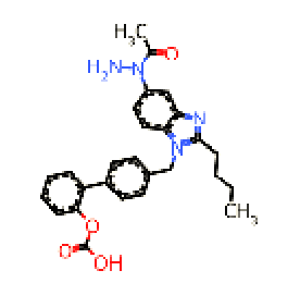 CCCCc1nc2cc(N(N)C(C)=O)ccc2n1Cc1ccc(-c2ccccc2OC(=O)O)cc1